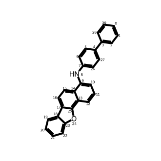 c1ccc(-c2ccc(Nc3cccc4c3ccc3c5ccccc5oc43)cc2)cc1